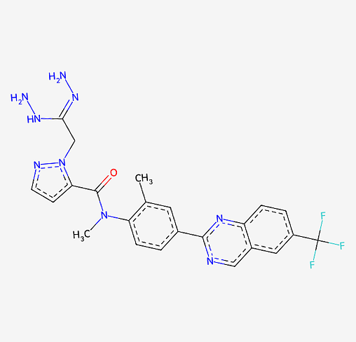 Cc1cc(-c2ncc3cc(C(F)(F)F)ccc3n2)ccc1N(C)C(=O)c1ccnn1C/C(=N/N)NN